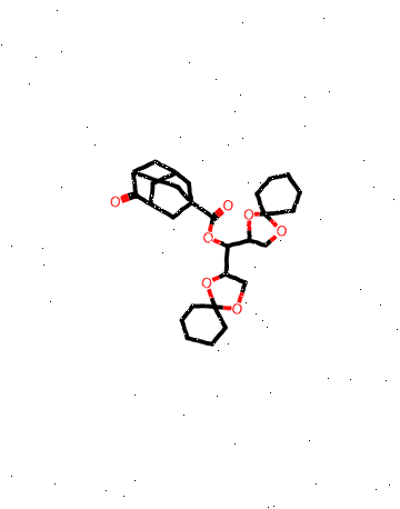 O=C1C2CC3CC1CC(C(=O)OC(C1COC4(CCCCC4)O1)C1COC4(CCCCC4)O1)(C3)C2